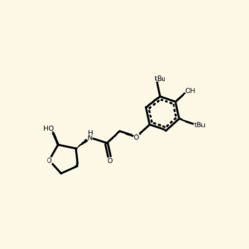 CC(C)(C)c1cc(OCC(=O)N[C@H]2CCOC2O)cc(C(C)(C)C)c1O